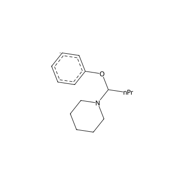 CCCC(Oc1c[c]ccc1)N1CCCCC1